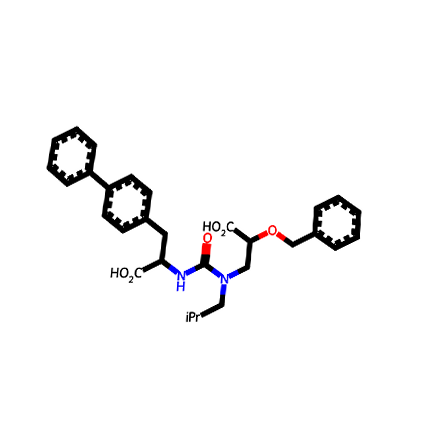 CC(C)CN(CC(OCc1ccccc1)C(=O)O)C(=O)NC(Cc1ccc(-c2ccccc2)cc1)C(=O)O